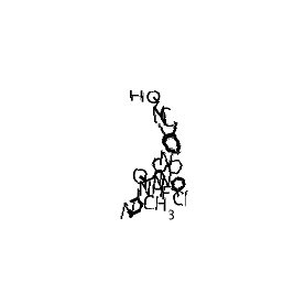 Cc1ccncc1CNC(=O)c1nn(-c2cccc(Cl)c2F)c2c1CCN(c1ccc3c(c1)CN(CCO)CC3)C2=O